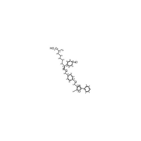 Cc1oc(-c2ccccc2)nc1COc1ccc(CON=C(CCCCCC(C)C(=O)O)c2ccc(Cl)cc2)cc1